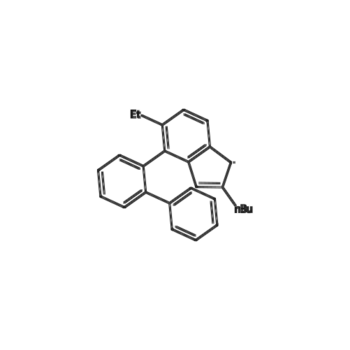 CCCCC1=Cc2c(ccc(CC)c2-c2ccccc2-c2ccccc2)[CH]1